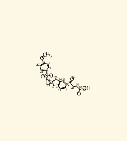 COc1ccc(S(=O)(=O)NC2Cc3ccc(C(=O)CCC(=O)O)cc3C2)cc1